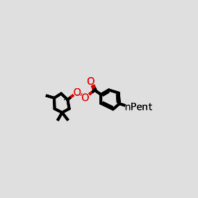 CCCCCc1ccc(C(=O)OO[C]2CC(C)CC(C)(C)C2)cc1